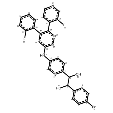 OC(c1ccc(Br)cn1)C(O)c1ccc(Nc2nnc(-c3ccncc3F)c(-c3ccccc3F)n2)cn1